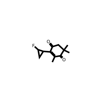 CC1=C(C2CC2F)C(=O)CC(C)(C)C1=O